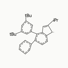 CC(C)C1=Cc2c(ccc(-c3ccccc3)c2-c2cc(C(C)(C)C)cc(C(C)(C)C)c2)[CH]1